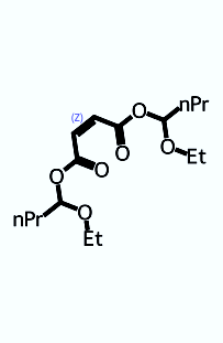 CCCC(OCC)OC(=O)/C=C\C(=O)OC(CCC)OCC